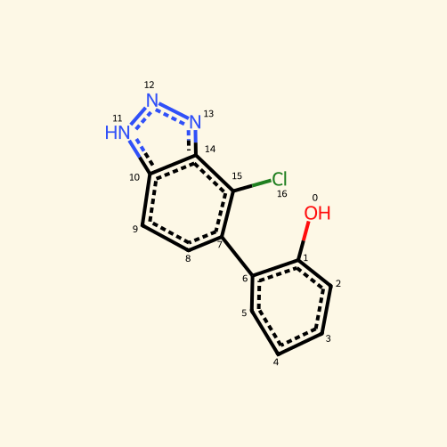 Oc1ccccc1-c1ccc2[nH]nnc2c1Cl